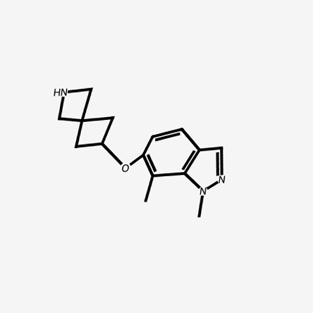 Cc1c(OC2CC3(CNC3)C2)ccc2cnn(C)c12